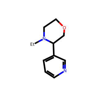 CCN1CCOCC1c1cccnc1